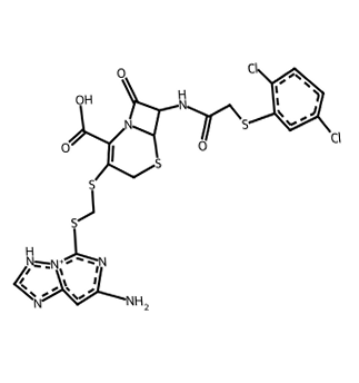 Nc1cc2nc[nH][n+]2c(SCSC2=C(C(=O)O)N3C(=O)C(NC(=O)CSc4cc(Cl)ccc4Cl)C3SC2)n1